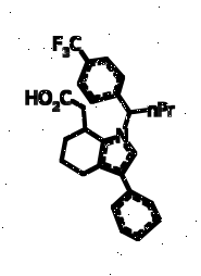 CCCC(c1ccc(C(F)(F)F)cc1)n1cc(-c2ccccc2)c2c1C(CC(=O)O)CCC2